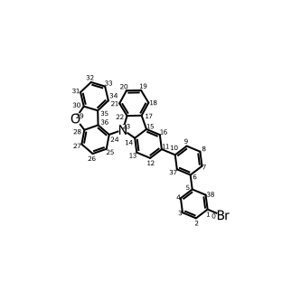 Brc1cccc(-c2cccc(-c3ccc4c(c3)c3ccccc3n4-c3cccc4oc5ccccc5c34)c2)c1